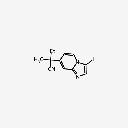 CCC(C)(C#N)c1ccn2c(I)cnc2c1